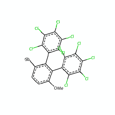 COc1cc[c]([Sb])c(-c2c(Cl)c(Cl)c(Cl)c(Cl)c2Cl)c1-c1c(Cl)c(Cl)c(Cl)c(Cl)c1Cl